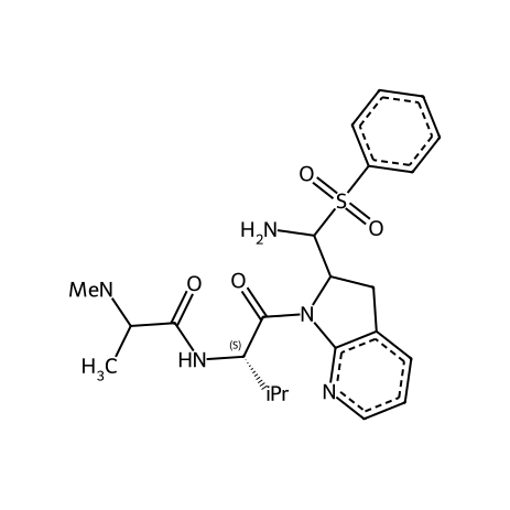 CNC(C)C(=O)N[C@H](C(=O)N1c2ncccc2CC1C(N)S(=O)(=O)c1ccccc1)C(C)C